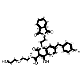 O=C(NCCOCCO)c1c(O)c2ncc(Cc3ccc(F)cc3)cc2n(CCN2C(=O)c3ccccc3C2=O)c1=O